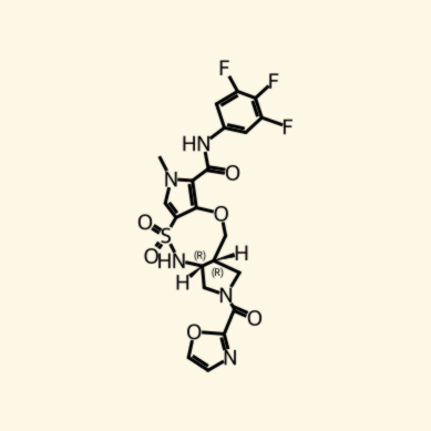 Cn1cc2c(c1C(=O)Nc1cc(F)c(F)c(F)c1)OC[C@@H]1CN(C(=O)c3ncco3)C[C@@H]1NS2(=O)=O